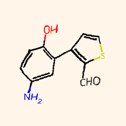 Nc1ccc(O)c(-c2ccsc2C=O)c1